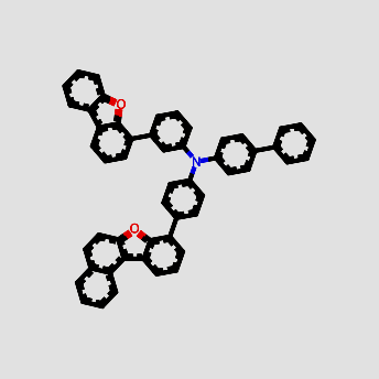 c1ccc(-c2ccc(N(c3ccc(-c4cccc5c4oc4ccc6ccccc6c45)cc3)c3cccc(-c4cccc5c4oc4ccccc45)c3)cc2)cc1